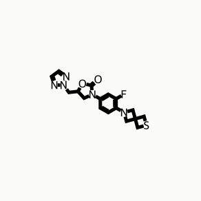 O=C1OC(Cn2nccn2)CN1c1ccc(N2CC3(CSC3)C2)c(F)c1